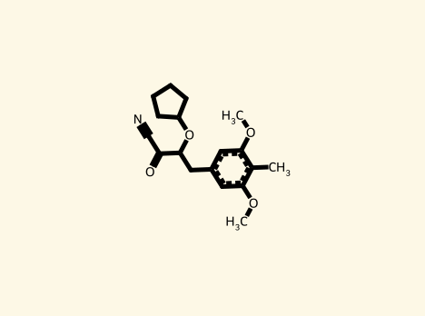 COc1cc(CC(OC2CCCC2)C(=O)C#N)cc(OC)c1C